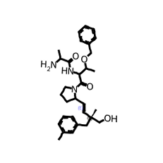 Cc1cccc(C[C@](C)(/C=C/C2CCCN2C(=O)C(NC(=O)C(C)N)C(C)OCc2ccccc2)CO)c1